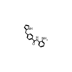 Nc1ccccc1NC(=O)c1ccc(Cc2ccc[nH]2)cc1